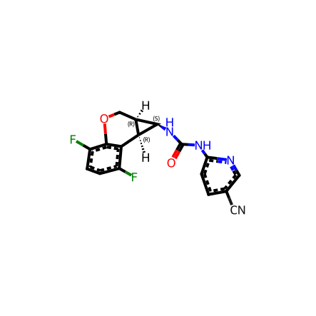 N#Cc1ccc(NC(=O)N[C@@H]2[C@@H]3COc4c(F)ccc(F)c4[C@@H]32)nc1